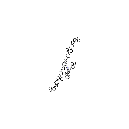 C=CC(=O)OCCN(/N=C/c1cc(OCC2CCC(C(=O)Oc3ccc(OCOC(=O)C=C)cc3)CC2)ccc1OCC1CCC(C(=O)Oc2ccc(OCOC(=O)C=C)cc2)CC1)c1nc2ccccc2s1